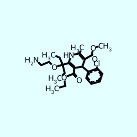 CCOC(=O)C1=C(C(CC)(CC)OCCN)NC(C)=C(C(=O)OC)C1c1ccccc1Cl